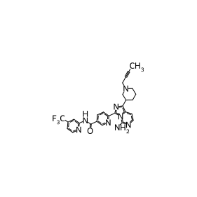 CC#CCN1CCCC(c2nc(-c3ccc(C(=O)Nc4cc(C(F)(F)F)ccn4)cn3)n3c(N)nccc23)C1